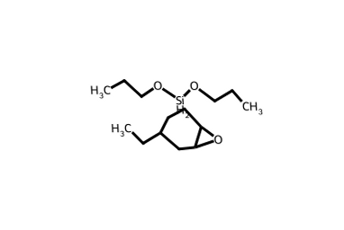 CCC1CCC2OC2C1.CCCO[SiH2]OCCC